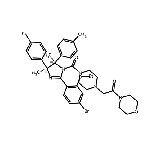 CCOc1cc(Br)ccc1C1=N[C@@](C)(c2ccc(Cl)cc2)[C@@](C)(c2ccc(C)cc2)N1C(=O)N1CCN(CC(=O)N2CCOCC2)CC1